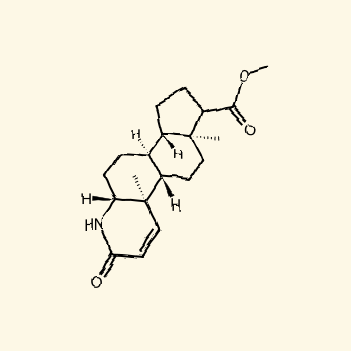 COC(=O)C1CC[C@H]2[C@@H]3CC[C@H]4NC(=O)C=C[C@]4(C)[C@H]3CC[C@]12C